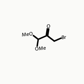 COC(OC)C(=O)CBr